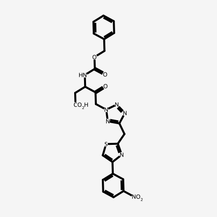 O=C(O)CC(NC(=O)OCc1ccccc1)C(=O)Cn1nnc(Cc2nc(-c3cccc([N+](=O)[O-])c3)cs2)n1